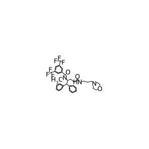 CN(C(=O)c1cc(C(F)(F)F)cc(C(F)(F)F)c1)C(CCC(=O)NCCCN1CCOCC1)C(c1ccccc1)c1ccccc1